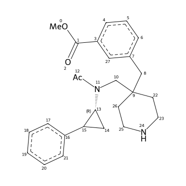 COC(=O)c1cccc(CC2(CN(C(C)=O)[C@@H]3CC3c3ccccc3)CCNCC2)c1